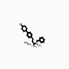 CC#N.CC(CCc1ccc(C2CCC(Cl)CC2)cc1)N(C)Cc1ccccc1